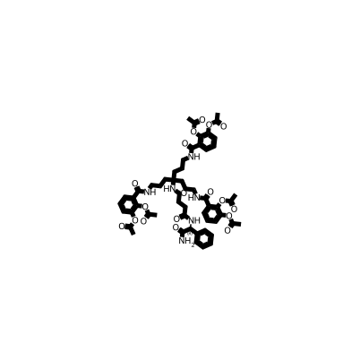 CC(=O)Oc1cccc(C(=O)NCCCC(CCCNC(=O)c2cccc(OC(C)=O)c2OC(C)=O)(CCCNC(=O)c2cccc(OC(C)=O)c2OC(C)=O)NC(=O)CCC(=O)N[C@@H](C(N)=O)c2ccccc2)c1OC(C)=O